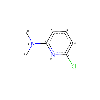 CN(C)c1cccc(Cl)n1